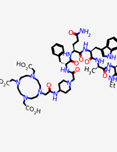 CCNC(=O)[C@@H](NC(=O)[C@H](C)NC(=O)[C@H](Cc1c[nH]c2ccccc12)NC(=O)[C@H](CCC(N)=O)NC(=O)[C@@H](Cc1ccccc1)NC(=O)CN1CCC(NC(=O)CN2CCN(CC(=O)O)CCN(CC(=O)O)CCN(CC(=O)O)CC2)CC1)C(C)C